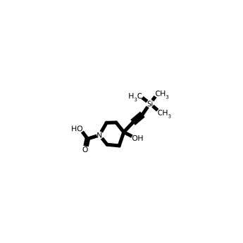 C[Si](C)(C)C#CC1(O)CCN(C(=O)O)CC1